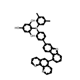 Cc1cc(C)cc(N(c2ccc(-c3ccc4c(c3)oc3cccc(-c5cc6cccnc6c6ncccc56)c34)cc2)c2c(O)cc(O)cc2O)c1